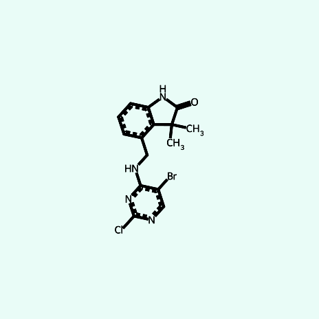 CC1(C)C(=O)Nc2cccc(CNc3nc(Cl)ncc3Br)c21